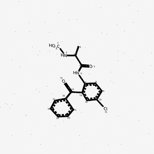 CC(NC(=O)O)C(=O)Nc1ccc(Cl)cc1C(=O)c1ccccc1